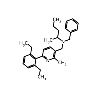 CCCC(C)N(Cc1ccccc1)Cc1ccc(-c2c(CC)cccc2CC)nc1C